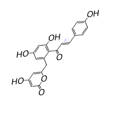 O=C(/C=C/c1ccc(O)cc1)c1c(O)cc(O)cc1Cc1cc(O)cc(=O)o1